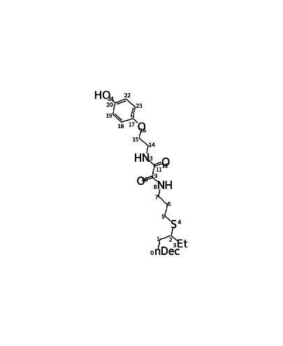 CCCCCCCCCCCC(CC)SCCCNC(=O)C(=O)NCCOc1ccc(O)cc1